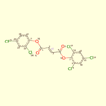 O=C(/C=C/C(=O)Oc1c(Cl)cc(Cl)cc1Cl)Oc1ccc(Cl)cc1Cl